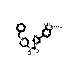 COc1ccc(-c2cn(C(=O)N(C)C3CCN(Cc4ccccc4)CC3)cn2)cc1C